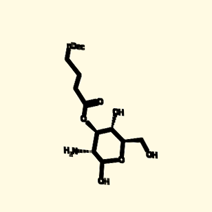 CCCCCCCCCCCCCC(=O)O[C@H]1[C@H](O)[C@@H](CO)OC(O)[C@@H]1N